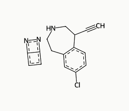 C#CC1CNCCc2cc(Cl)ccc21.c1cc2nnc1-2